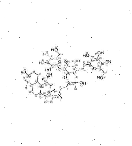 C[C@H](CC[C@@H](O[C@@H]1O[C@H](CO[C@@H]2O[C@H](CO)[C@@H](O)[C@H](O)[C@H]2O)[C@@H](O)[C@H](O)[C@H]1O[C@@H]1O[C@H](CO)[C@@H](O)[C@H](O)[C@H]1O)C(C)(C)O)C1CC[C@@]2(C)C3CC=C4C(CC[C@H](O)C4(C)C)[C@]3(C)[C@H](O)C[C@]12C